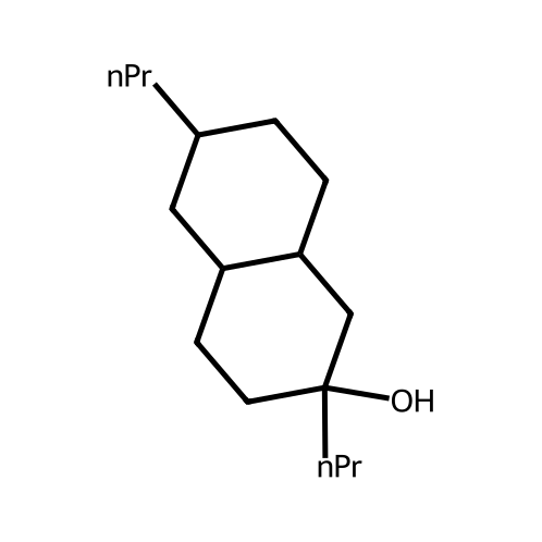 CCCC1CCC2CC(O)(CCC)CCC2C1